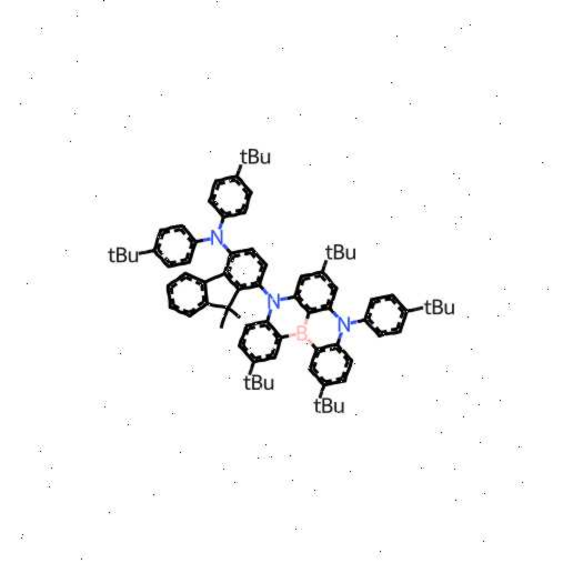 CC(C)(C)c1ccc(N(c2ccc(C(C)(C)C)cc2)c2ccc(N3c4ccc(C(C)(C)C)cc4B4c5cc(C(C)(C)C)ccc5N(c5ccc(C(C)(C)C)cc5)c5cc(C(C)(C)C)cc3c54)c3c2-c2ccccc2C3(C)C)cc1